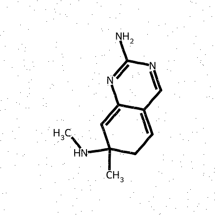 CNC1(C)C=c2nc(N)ncc2=CC1